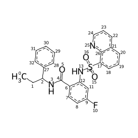 CCC(NC(=O)c1ccc(F)cc1NS(=O)(=O)c1cccc2cccnc12)c1ccccc1